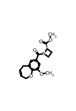 COC(=O)[C@H]1CCN1C(=O)c1cc2c(c(OC)c1)OCC=CC2